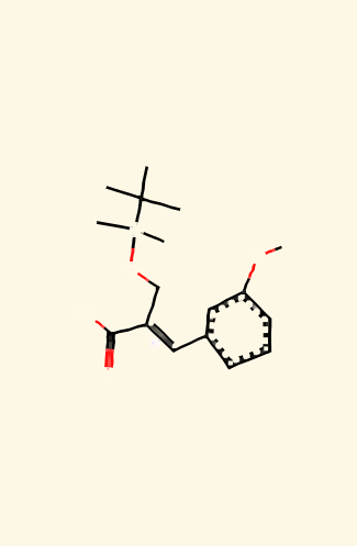 COc1cccc(/C=C(\CO[Si](C)(C)C(C)(C)C)C(=O)O)c1